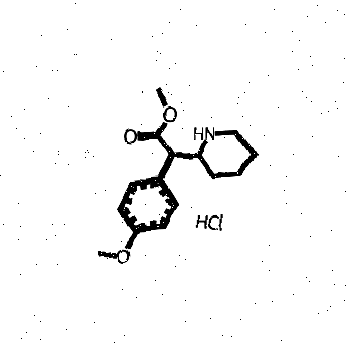 COC(=O)C(c1ccc(OC)cc1)C1CCCCN1.Cl